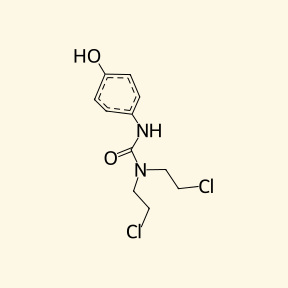 O=C(Nc1ccc(O)cc1)N(CCCl)CCCl